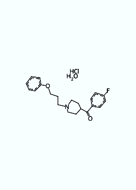 Cl.O.O=C(c1ccc(F)cc1)C1CCN(CCCOc2ccccc2)CC1